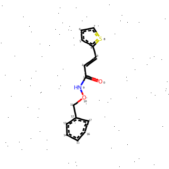 O=C(C=Cc1cccs1)NOCc1ccccc1